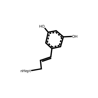 CCCCCCCCC=Cc1cc(O)cc(O)c1